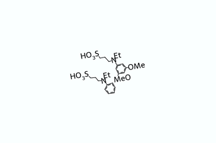 CCN(CCCS(=O)(=O)O)c1cc(OC)cc(OC)c1.CCN(CCCS(=O)(=O)O)c1ccccc1